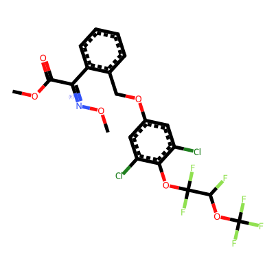 CO/N=C(/C(=O)OC)c1ccccc1COc1cc(Cl)c(OC(F)(F)C(F)OC(F)(F)F)c(Cl)c1